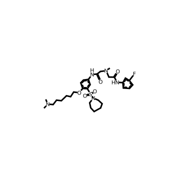 CN(C)CCCCCCOc1ccc(NC(=O)CN(C)CC(=O)Nc2cccc(F)c2)cc1S(=O)(=O)N1CCCCCC1